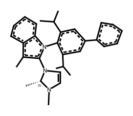 Cc1c(N2C=CN(C)[C@@H]2C)n(-c2c(C(C)C)cc(-c3ccccc3)cc2C(C)C)c2ccccc12